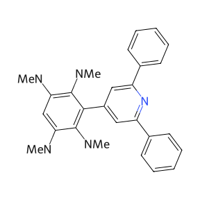 CNc1cc(NC)c(NC)c(-c2cc(-c3ccccc3)nc(-c3ccccc3)c2)c1NC